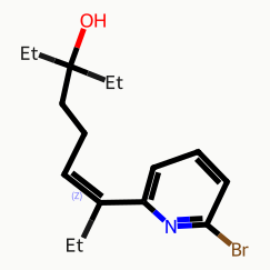 CC/C(=C/CCC(O)(CC)CC)c1cccc(Br)n1